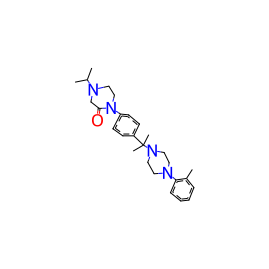 Cc1ccccc1N1CCN(C(C)(C)c2ccc(N3CCN(C(C)C)CC3=O)cc2)CC1